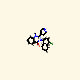 CN(Cc1ccncc1)c1ccccc1C(=O)Nc1ccc(Cl)c2ccccc12